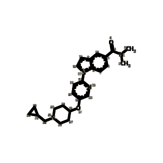 CN(C)C(=O)c1ccc2c(ccn2-c2ccc(OC3CCN(CC4CC4)CC3)cn2)c1